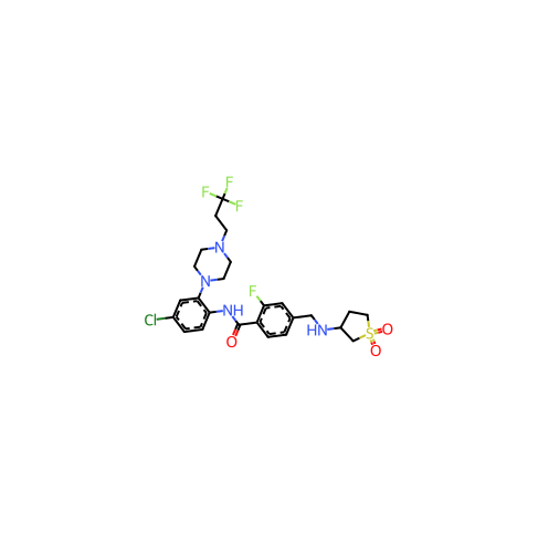 O=C(Nc1ccc(Cl)cc1N1CCN(CCC(F)(F)F)CC1)c1ccc(CNC2CCS(=O)(=O)C2)cc1F